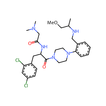 COCC(C)NCc1ccccc1N1CCN(C(=O)C(Cc2ccc(Cl)cc2Cl)NC(=O)CN(C)C)CC1